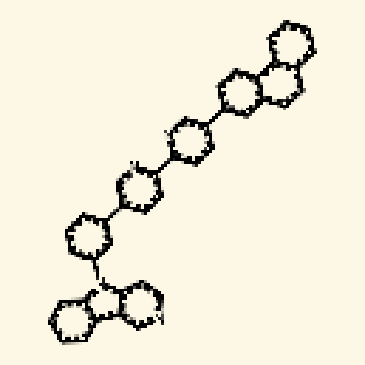 c1cc(-c2ccc(-c3ccc(-c4ccc5c(ccc6ccccc65)c4)cn3)nc2)cc(-n2c3ccccc3c3cnccc32)c1